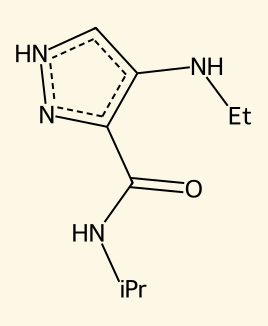 CCNc1c[nH]nc1C(=O)NC(C)C